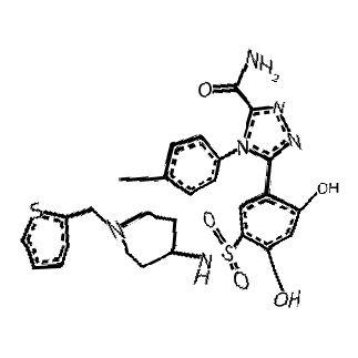 Cc1ccc(-n2c(C(N)=O)nnc2-c2cc(S(=O)(=O)NC3CCN(Cc4cccs4)CC3)c(O)cc2O)cc1